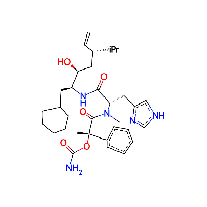 C=C[C@@H](C[C@H](O)[C@H](CC1CCCCC1)NC(=O)[C@H](Cc1c[nH]cn1)N(C)C(=O)[C@@](C)(OC(N)=O)c1ccccc1)C(C)C